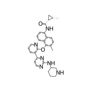 Cc1ccc2c(NC(=O)[C@@H]3C[C@@H]3C)cccc2c1Oc1ncccc1-c1ccnc(NC2CCCNC2)n1